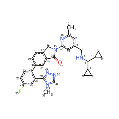 Cc1cc(CNC(C2CC2)C2CC2)cc(N2Cc3ccc(-c4ccc(F)cc4-c4nncn4C)cc3C2=O)n1